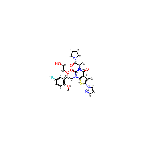 COc1ccc(F)cc1[C@H](Cn1c(=O)n(C(C)C(=O)N2CCCC2)c(=O)c2c(C)c(-n3cccn3)sc21)OCCO